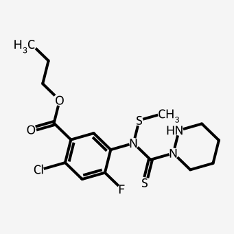 CCCOC(=O)c1cc(N(SC)C(=S)N2CCCCN2)c(F)cc1Cl